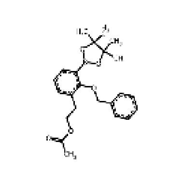 CC(=O)OCCc1cccc(B2OC(C)(C)C(C)(C)O2)c1OCc1ccccc1